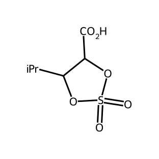 CC(C)C1OS(=O)(=O)OC1C(=O)O